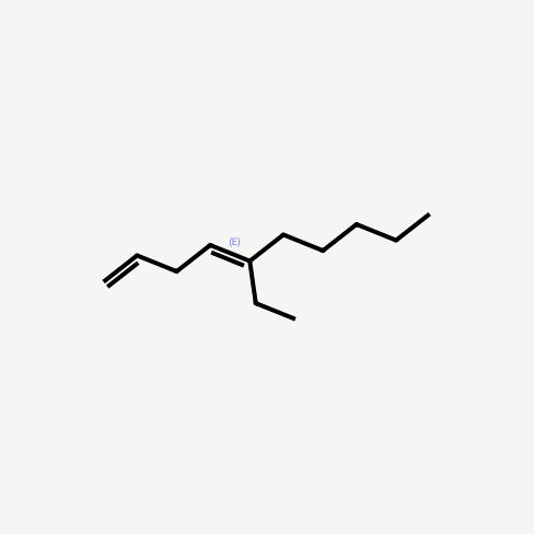 C=CC/C=C(\CC)CCCCC